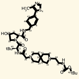 Cc1ncsc1-c1ccc(CNC(=O)[C@@H]2C[C@@H](O)CN2C(=O)[C@@H](NC(=O)CN2CCC3(CCN(CCNC(=O)OC(C)(C)C)CC3)CC2)C(C)(C)C)cc1